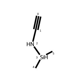 C#CN[SiH](C)C